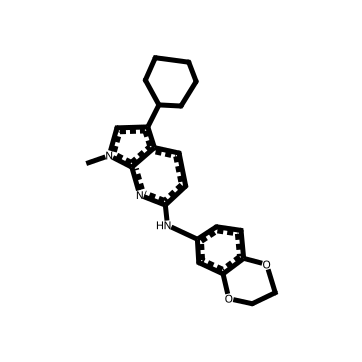 Cn1cc(C2CCCCC2)c2ccc(Nc3ccc4c(c3)OCCO4)nc21